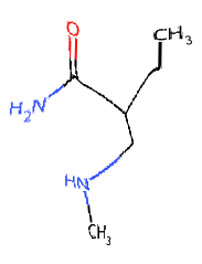 CCC(CNC)C(N)=O